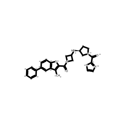 Cc1c(C(=O)N2CC(N[C@H]3CCN(C(=O)c4nccs4)C3)C2)sc2ccc(-c3ccccc3)cc12